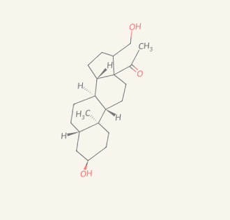 CC(=O)C12CC[C@H]3[C@@H](CC[C@H]4C[C@H](O)CC[C@@]43C)[C@@H]1CCC2CO